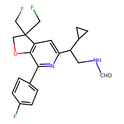 O=CNCC(c1cc2c(c(-c3ccc(F)cc3)n1)OCC2(CF)CF)C1CC1